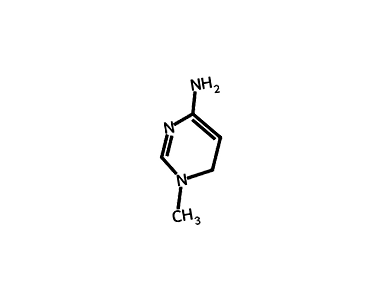 CN1C=NC(N)=CC1